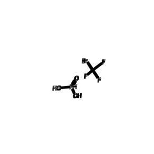 FC(F)(F)Br.O=[PH](O)O